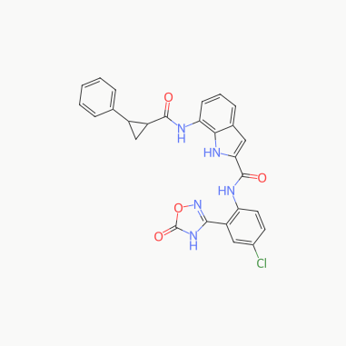 O=C(Nc1ccc(Cl)cc1-c1noc(=O)[nH]1)c1cc2cccc(NC(=O)C3CC3c3ccccc3)c2[nH]1